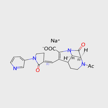 CC(=O)N1CCC2C(/C=C3\CCN(c4cccnc4)C3=O)=C(C(=O)[O-])N3C(=O)[C@@H]1[C@@H]23.[Na+]